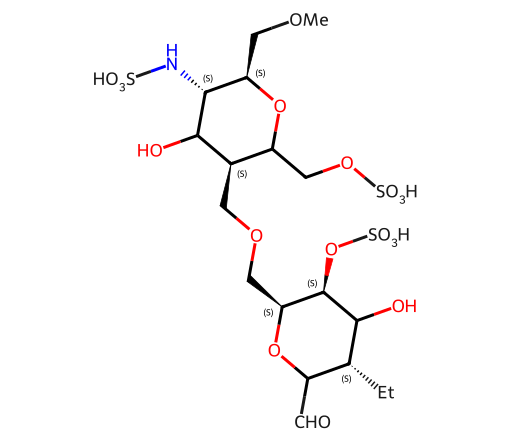 CC[C@@H]1C(C=O)O[C@@H](COC[C@@H]2C(COS(=O)(=O)O)O[C@H](COC)[C@@H](NS(=O)(=O)O)C2O)[C@@H](OS(=O)(=O)O)C1O